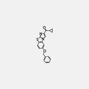 O=C(c1cn2c(n1)sc1ccc(OCc3ccccc3)cc12)C1CC1